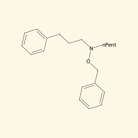 CCCCCN(CC[CH]c1ccccc1)OCc1ccccc1